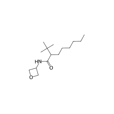 CCCCCCC(C(=O)NC1COC1)C(C)(C)C